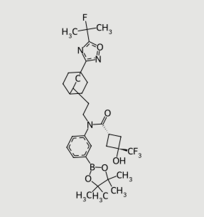 CC(C)(F)c1nc(C23CCC(CC2)C(CCN(c2cccc(B4OC(C)(C)C(C)(C)O4)c2)C(=O)[C@H]2C[C@](O)(C(F)(F)F)C2)C3)no1